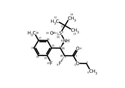 CCOC(=O)[C@H](F)[C@H](N[S@+]([O-])C(C)(C)C)c1cc(C)ccc1F